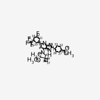 COCC1(CN(C)c2cc(-c3cc(F)cc(C(F)(F)F)c3)nc3nc(-c4ccc(C(C)=O)cc4)[nH]c23)CCC1